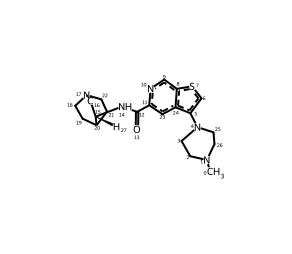 CN1CCN(c2csc3cnc(C(=O)N[C@H]4CN5CCC4CC5)cc23)CC1